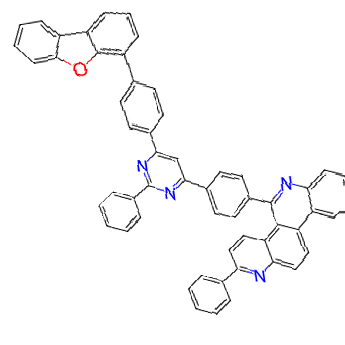 c1ccc(-c2ccc3c(ccc4c5ccccc5nc(-c5ccc(-c6cc(-c7ccc(-c8cccc9c8oc8ccccc89)cc7)nc(-c7ccccc7)n6)cc5)c34)n2)cc1